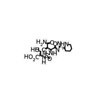 C=C(C(N)=O)[C@H](NS(=O)(=O)N[C@@H](CO)C(=O)O)c1nc([C@H]2CCCCN2)no1